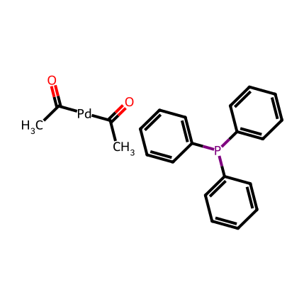 C[C](=O)[Pd][C](C)=O.c1ccc(P(c2ccccc2)c2ccccc2)cc1